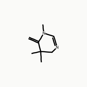 C=C1N(C)C=NCC1(C)C